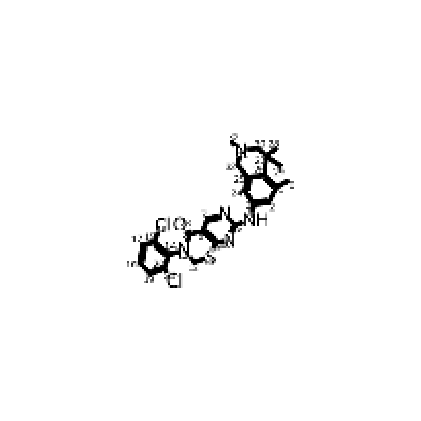 Cc1cc(Nc2ncc3c(n2)SCN(c2c(Cl)cccc2Cl)C3=O)cc2c1C(C)(C)CN(C)C2